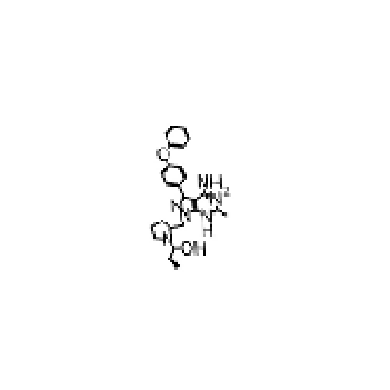 C=CC(O)N1CCCC1Cn1nc(-c2ccc(Oc3ccccc3)cc2)c2c1NC(C)N=C2N